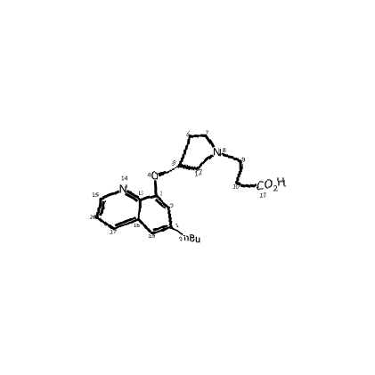 CCCCc1cc(O[C@H]2CCN(CCC(=O)O)C2)c2ncccc2c1